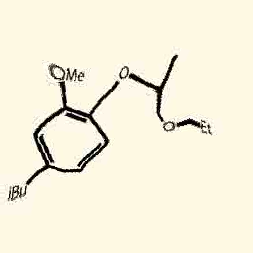 CCOC(C)Oc1ccc(C(C)CC)cc1OC